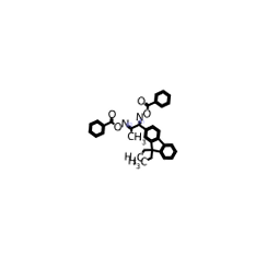 CCC1(CC)c2ccccc2-c2ccc(C(=N\OC(=O)c3ccccc3)/C(C)=N/OC(=O)c3ccccc3)cc21